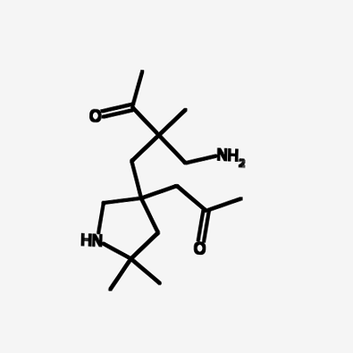 CC(=O)CC1(CC(C)(CN)C(C)=O)CNC(C)(C)C1